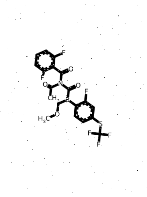 COCB(C(=O)N(C(C)=O)C(=O)c1c(F)cccc1F)c1ccc(SC(F)(F)F)cc1F